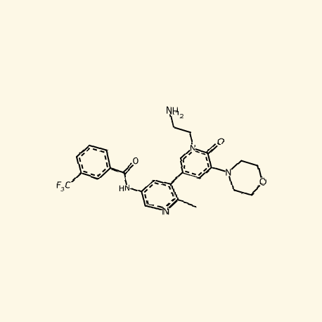 Cc1ncc(NC(=O)c2cccc(C(F)(F)F)c2)cc1-c1cc(N2CCOCC2)c(=O)n(CCN)c1